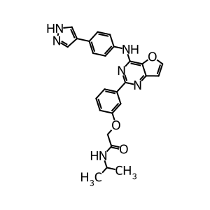 CC(C)NC(=O)COc1cccc(-c2nc(Nc3ccc(-c4cn[nH]c4)cc3)c3occc3n2)c1